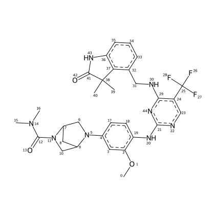 COc1cc(N2CC3CC2CN3C(=O)N(C)C)ccc1Nc1ncc(C(F)(F)F)c(NCc2cccc3c2C(C)(C)C(=O)N3)n1